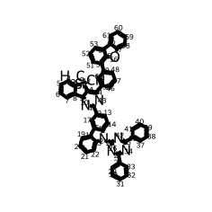 C[Si]1(C)c2ccccc2-c2nc(-c3ccc4c(c3)c3ccccc3n4-c3nc(-c4ccccc4)nc(-c4ccccc4)n3)nc(-c3cccc(-c4cccc5c4oc4ccccc45)c3)c21